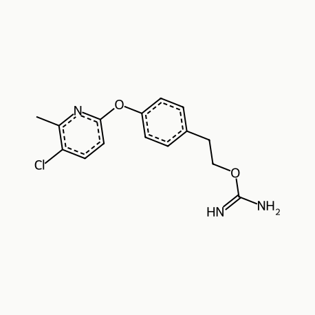 Cc1nc(Oc2ccc(CCOC(=N)N)cc2)ccc1Cl